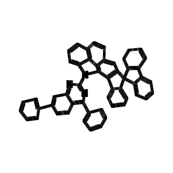 C1=CC2=C(CC1)C1(c3ccccc32)c2ccccc2-c2c1cc1ccc3cccc4c3c1c2n4-c1nc(-c2ccccc2)c2ccc(-c3ccccc3)cc2n1